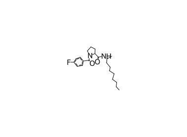 CCCCCCCCC(C)NC(=O)C1CCCN1C(=O)c1ccc(F)cc1